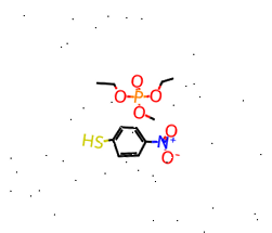 CCOP(=O)(OC)OCC.O=[N+]([O-])c1ccc(S)cc1